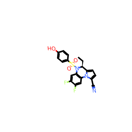 CC[C@H]1c2ccc(C#N)n2-c2cc(F)c(F)cc2N1S(=O)(=O)c1ccc(O)cc1